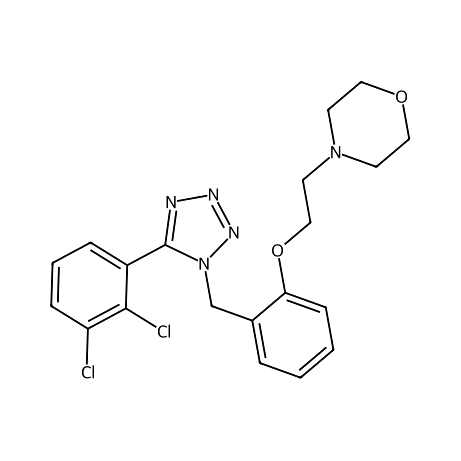 Clc1cccc(-c2nnnn2Cc2ccccc2OCCN2CCOCC2)c1Cl